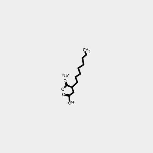 CCCCCCCCC(CC(=O)O)C(=O)[O-].[Na+]